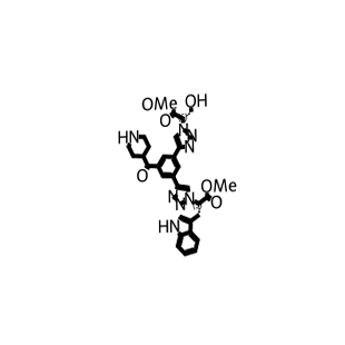 COC(=O)[C@H](CO)n1cc(-c2cc(C(=O)C3CCNCC3)cc(-c3cn([C@@H](Cc4c[nH]c5ccccc45)C(=O)OC)nn3)c2)nn1